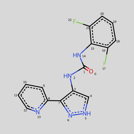 O=C(Nc1c[nH]nc1-c1ccccn1)Nc1c(F)cccc1F